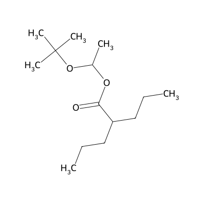 CCCC(CCC)C(=O)OC(C)OC(C)(C)C